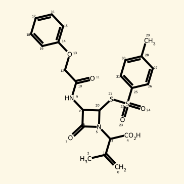 C=C(C)C(C(=O)O)N1C(=O)C(NC(=O)COc2ccccc2)C1SS(=O)(=O)c1ccc(C)cc1